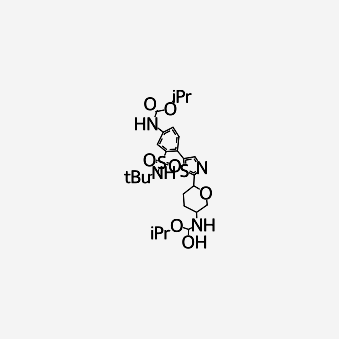 CC(C)OC(=O)Nc1ccc(-c2cnc(C3CCC(NC(O)OC(C)C)CO3)s2)c(S(=O)(=O)NC(C)(C)C)c1